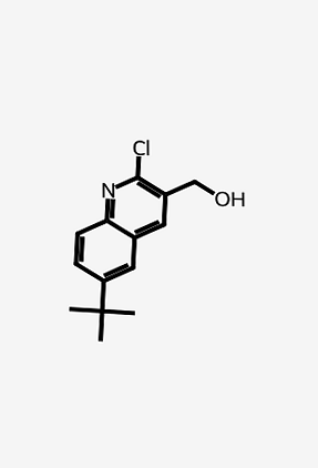 CC(C)(C)c1ccc2nc(Cl)c(CO)cc2c1